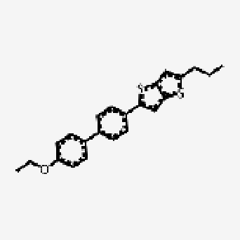 CCCc1cc2sc(-c3ccc(-c4ccc(OCC)cc4)cc3)cc2s1